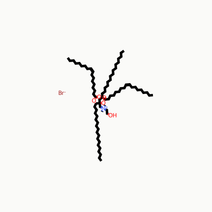 CCCCCCCC/C=C\CCCCCCCC(=O)OC(CCCCCCCCCCCCCCCCCC)C(CCCCCCCCCCCCCCCCCC)(C[N+](C)(C)CCO)OC(=O)CCCCCCC/C=C\CCCCCCCC.[Br-]